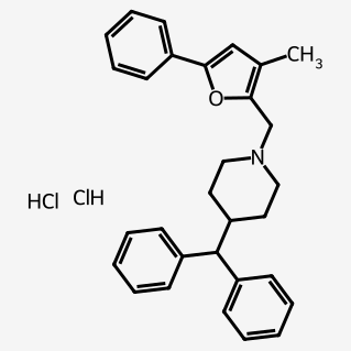 Cc1cc(-c2ccccc2)oc1CN1CCC(C(c2ccccc2)c2ccccc2)CC1.Cl.Cl